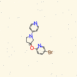 Brc1ccc(O[C@H]2CCN(c3ccncc3)C2)nc1